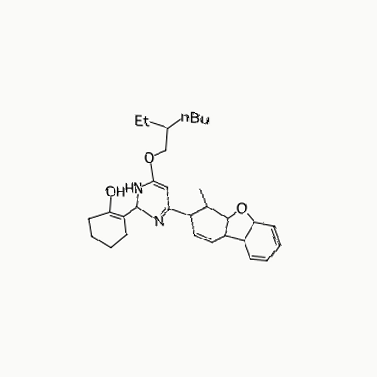 CCCCC(CC)COC1=CC(C2C=CC3C4C=CC=CC4OC3C2C)=NC(C2=C(O)CCCC2)N1